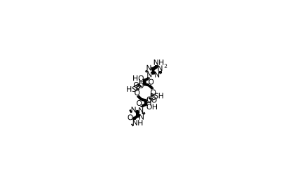 C=Nc1c(C(=O)NC)ncn1C1OC2COP(=O)(S)O[C@@H]3C(COP(=O)(S)O[C@H]2[C@H]1O)OC(n1cnc2c(N)ncnc21)[C@@H]3O